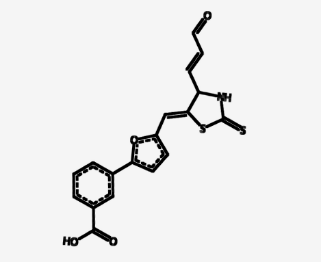 O=C/C=C/C1NC(=S)S/C1=C\c1ccc(-c2cccc(C(=O)O)c2)o1